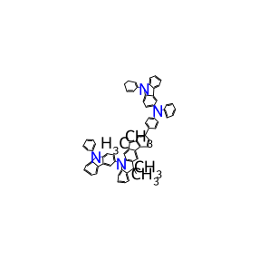 CC1(C)c2cc(-c3ccc(N(c4ccccc4)c4ccc5c(c4)c4ccccc4n5C4=CCCC=C4)cc3)ccc2-c2cc3c(cc21)N(c1ccc2c(c1)c1ccccc1n2-c1ccccc1)c1ccccc1C3(C)C